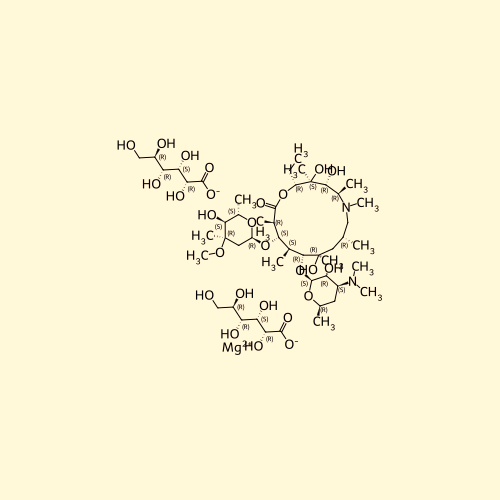 CC[C@H]1OC(=O)[C@H](C)[C@@H](O[C@H]2C[C@@](C)(OC)[C@@H](O)[C@H](C)O2)[C@H](C)[C@@H](O[C@@H]2O[C@H](C)C[C@H](N(C)C)[C@H]2O)[C@](C)(O)C[C@@H](C)CN(C)[C@H](C)[C@@H](O)[C@]1(C)O.O=C([O-])[C@H](O)[C@@H](O)[C@H](O)[C@H](O)CO.O=C([O-])[C@H](O)[C@@H](O)[C@H](O)[C@H](O)CO.[Mg+2]